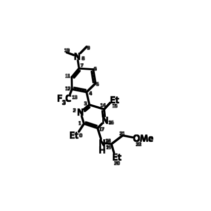 CCc1nc(-c2ccc(N(C)C)cc2C(F)(F)F)c(CC)nc1NC(CC)COC